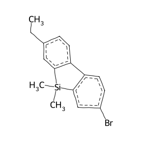 CCc1ccc2c(c1)[Si](C)(C)c1cc(Br)ccc1-2